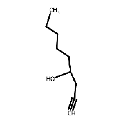 C#CCC(O)CCCCC